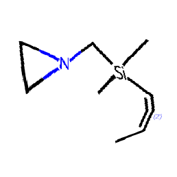 C/C=C\[Si](C)(C)CN1CC1